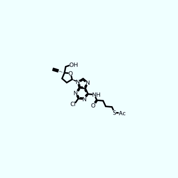 C#C[C@@]1(CO)CC[C@H](n2cnc3c(NC(=O)CCCSC(C)=O)nc(Cl)nc32)O1